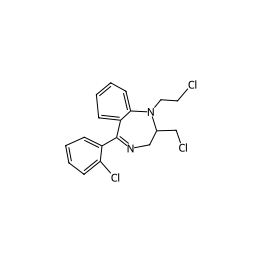 ClCCN1c2ccccc2C(c2ccccc2Cl)=NCC1CCl